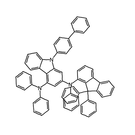 c1ccc(-c2ccc(-n3c4ccccc4c4c(N(c5ccccc5)c5ccccc5)cc(N(c5ccccc5)c5cccc6c5C(c5ccccc5)(c5ccccc5)c5ccccc5-6)cc43)cc2)cc1